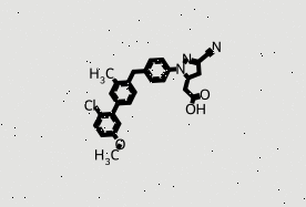 COc1ccc(Cl)c(-c2ccc(Cc3ccc(N4N=C(C#N)CC4CC(=O)O)cc3)c(C)c2)c1